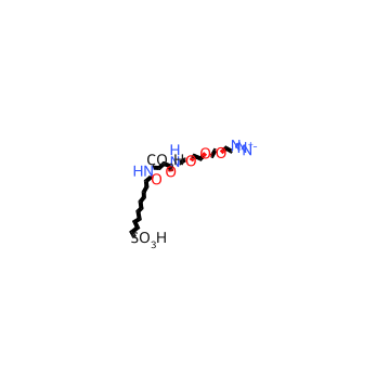 [N-]=[N+]=NCCOCCOCCOCCNC(=O)CC[C@H](NC(=O)CCCCCCCCCCCS(=O)(=O)O)C(=O)O